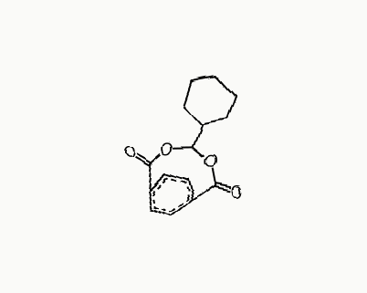 O=C1OC(C2CCCCC2)OC(=O)c2ccc1cc2